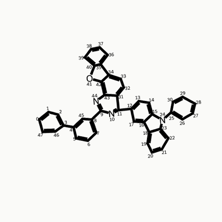 c1ccc(-c2cccc(-c3nc(-c4ccc5c(c4)c4ccccc4n5-c4ccccc4)c4ccc5c6ccccc6oc5c4n3)c2)cc1